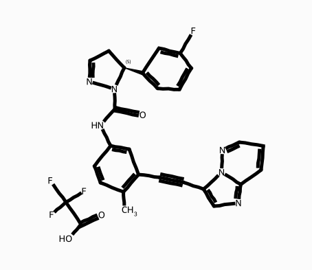 Cc1ccc(NC(=O)N2N=CC[C@H]2c2cccc(F)c2)cc1C#Cc1cnc2cccnn12.O=C(O)C(F)(F)F